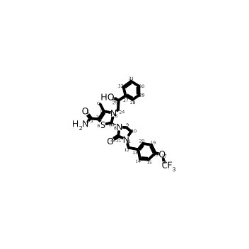 CC1=C(C(N)=O)S[C@@H](N2CCN(Cc3ccc(OC(F)(F)F)cc3)C2=O)N1CC(O)c1ccccc1